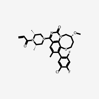 C=CC(=O)N1[C@H](C)CN(c2nc(=O)n3c4c(c(-c5cc(Cl)c(F)cc5F)c(C)cc24)SCC[C@@H](OC)C3)C[C@@H]1C